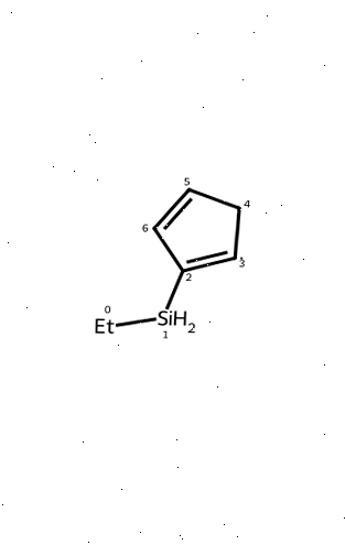 CC[SiH2]C1=[C]CC=C1